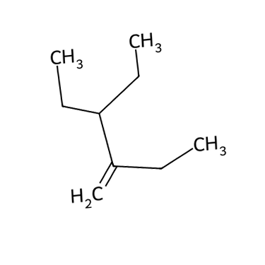 C=C(CC)C(CC)CC